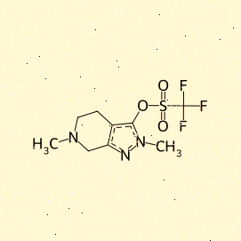 CN1CCc2c(nn(C)c2OS(=O)(=O)C(F)(F)F)C1